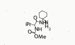 COC(=O)NC(C(=O)NC1(N)CCCCC1)C(C)C